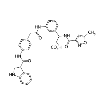 Cc1cc(C(=O)NC(CC(=O)O)c2cccc(NC(=O)Cc3ccc(NC(=O)C4CNc5ccccc54)cc3)c2)no1